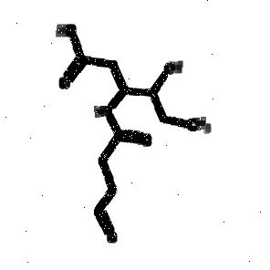 CCC(O)C(CC(=O)O)NC(=O)CCC=O